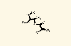 C=C(C)C(=O)OC(C)C(CCCCC)ON=O